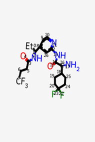 CCC(NC(=O)CCC(F)(F)F)c1ccnc(NC(=O)[C@@H](N)C2CCC(F)(F)CC2)c1